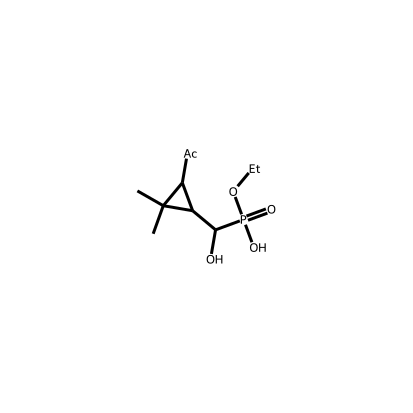 CCOP(=O)(O)C(O)C1C(C(C)=O)C1(C)C